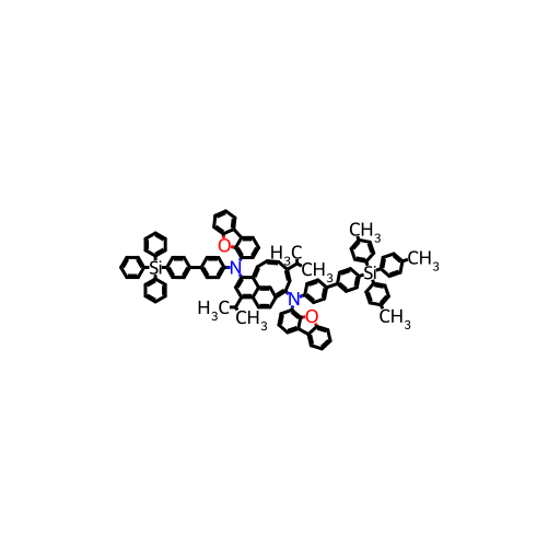 Cc1ccc([Si](c2ccc(C)cc2)(c2ccc(C)cc2)c2ccc(-c3ccc(N(c4cc(C(C)C)cccc5c(N(c6ccc(-c7ccc([Si](c8ccccc8)(c8ccccc8)c8ccccc8)cc7)cc6)c6cccc7c6oc6ccccc67)cc(C(C)C)c6ccc4cc65)c4cccc5c4oc4ccccc45)cc3)cc2)cc1